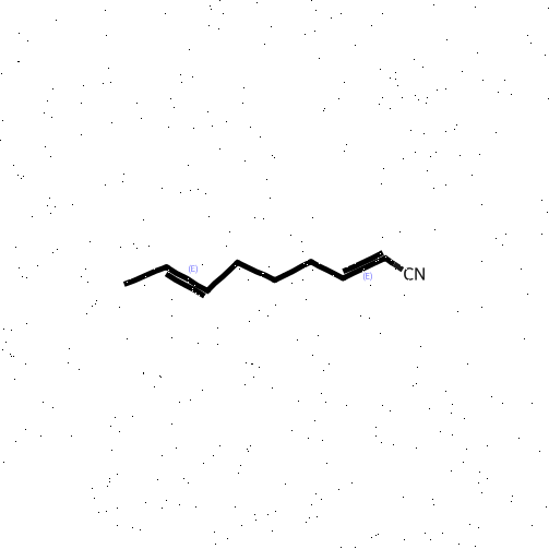 C/C=C/CCC/C=C/C#N